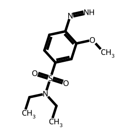 CCN(CC)S(=O)(=O)c1ccc(N=N)c(OC)c1